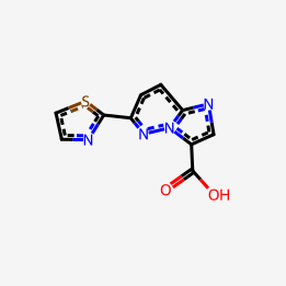 O=C(O)c1cnc2ccc(-c3nccs3)nn12